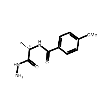 COc1ccc(C(=O)N[C@@H](C)C(=O)NN)cc1